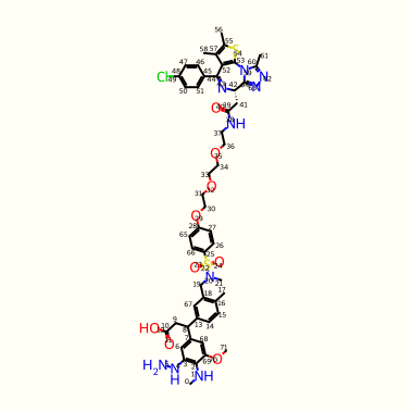 CNc1c(NN)cc(C(CC(=O)O)c2ccc(C)c(CN(C)S(=O)(=O)c3ccc(OCCOCCOCCNC(=O)C[C@@H]4N=C(c5ccc(Cl)cc5)c5c(sc(C)c5C)-n5c(C)nnc54)cc3)c2)cc1OC